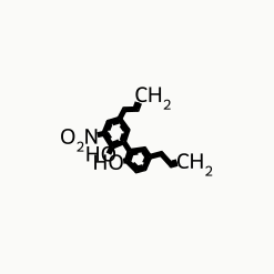 C=CCc1ccc(O)c(-c2cc(CC=C)cc([N+](=O)[O-])c2O)c1